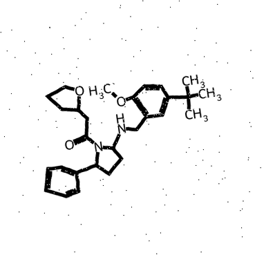 COc1ccc(C(C)(C)C)cc1CNC1CCC(c2ccccc2)N1C(=O)CC1CCCO1